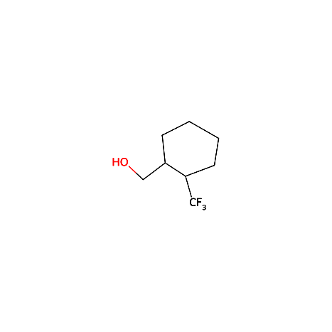 OCC1CCCCC1C(F)(F)F